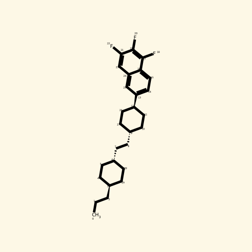 CCC[C@H]1CC[C@H](CC[C@H]2CC[C@H](c3ccc4c(F)c(F)c(F)cc4c3)CC2)CC1